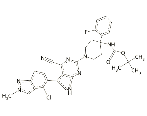 Cn1cc2c(Cl)c(-c3c[nH]c4nc(N5CCC(NC(=O)OC(C)(C)C)(c6ccccc6F)CC5)nc(C#N)c34)ccc2n1